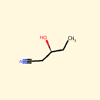 CC[C@H](O)CC#N